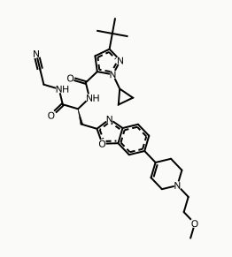 COCCN1CC=C(c2ccc3nc(C[C@H](NC(=O)c4cc(C(C)(C)C)nn4C4CC4)C(=O)NCC#N)oc3c2)CC1